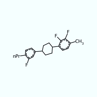 CCCc1ccc(C2CCC(c3ccc(C)c(F)c3F)CC2)cc1F